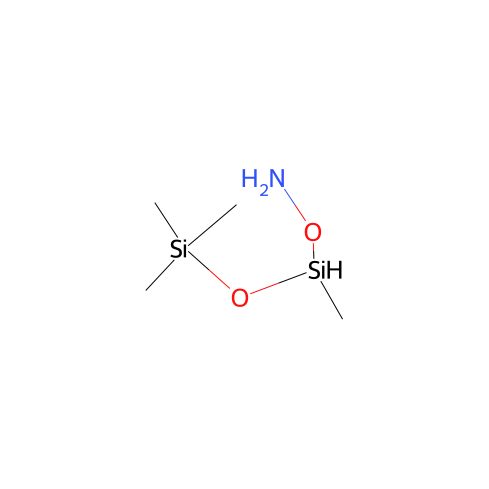 C[SiH](ON)O[Si](C)(C)C